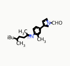 CCC(C)C(C)CC/C(C)=N/c1ccc(-c2ccn(C=O)c2)cc1C